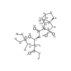 CCC(=O)C(C)(C)[C@H](CC(=O)N1C2CC3CC[C@]2(CS1(=O)=O)C3(C)C)O[Si](CC)(CC)CC